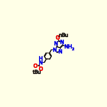 CCCCOc1nc(N)c2ncn(Cc3ccc(CNC(=O)OC(C)(C)C)cc3)c2n1